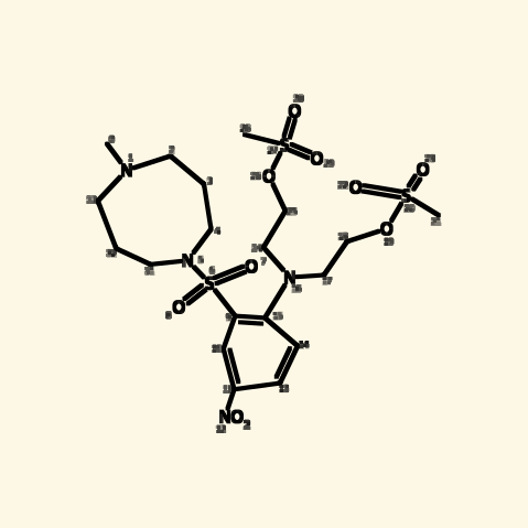 CN1CCCN(S(=O)(=O)c2cc([N+](=O)[O-])ccc2N(CCOS(C)(=O)=O)CCOS(C)(=O)=O)CCC1